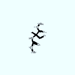 CC(C)(C)OC(=O)NC(C)(CF)C(=O)OC(C)(C)C